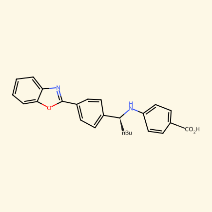 CCCC[C@H](Nc1ccc(C(=O)O)cc1)c1ccc(-c2nc3ccccc3o2)cc1